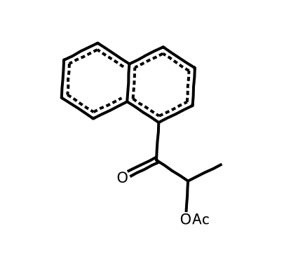 CC(=O)OC(C)C(=O)c1cccc2ccccc12